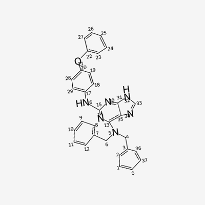 c1ccc(CN(Cc2ccccc2)c2nc(Nc3ccc(Oc4ccccc4)cc3)nc3[nH]cnc23)cc1